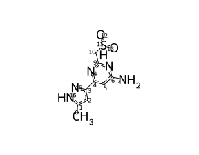 Cc1cc(-c2cc(N)nc(C[SH](=O)=O)n2)n[nH]1